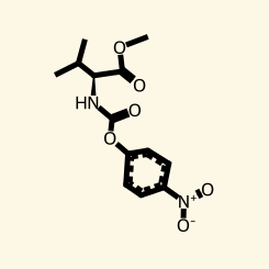 COC(=O)[C@@H](NC(=O)Oc1ccc([N+](=O)[O-])cc1)C(C)C